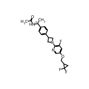 CC(=O)N[C@@H](C)c1ccc(C2CN(c3ncc(OCC4CC4(F)F)cc3F)C2)cc1